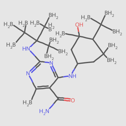 Bc1nc(NC(C(B)(B)B)(C(B)(B)B)C(B)(B)B)nc(NC2CC(B)(B)C(C(B)(B)B)C(B)(O)C2)c1C(N)=O